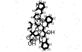 CCC(C)[C@@H](C(=O)N[C@@H](Cc1ccccc1)C[C@@H](O)[C@H](Cc1ccccc1)NC(=O)[C@@H](NC(=O)O)C(C)(C)C)N1CCN(Cc2cccnc2C)C1=O